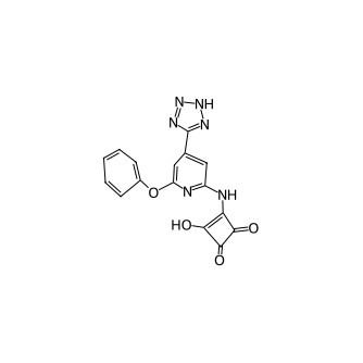 O=c1c(O)c(Nc2cc(-c3nn[nH]n3)cc(Oc3ccccc3)n2)c1=O